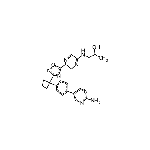 CC(O)CNC1=NCC(c2nc(C3(c4ccc(-c5cnc(N)nc5)cc4)CCC3)no2)N=C1